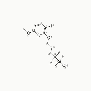 COc1ccc(I)c(OCCCC(C)(C)[Si](C)(C)O)c1